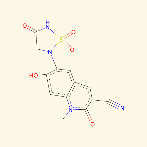 Cn1c(=O)c(C#N)cc2cc(N3CC(=O)NS3(=O)=O)c(O)cc21